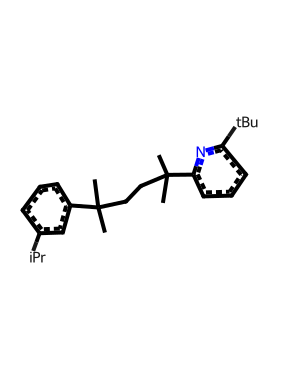 CC(C)c1cccc(C(C)(C)CCC(C)(C)c2cccc(C(C)(C)C)n2)c1